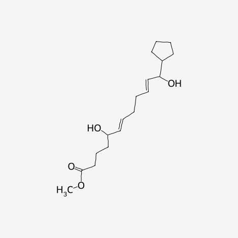 COC(=O)CCCC(O)C=CCCC=CC(O)C1CCCC1